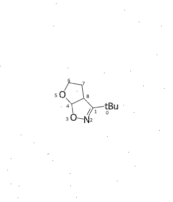 CC(C)(C)C1=NOC2OCCC12